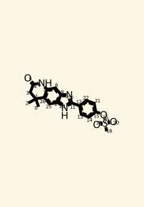 CC1(C)CC(=O)Nc2cc3nc(-c4ccc(OS(C)(=O)=O)cc4)[nH]c3cc21